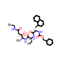 CCC(C)CNC(=O)C[C@H](O)[C@@H](NC(=O)[C@H](CC(C)C)NC(=O)[C@H](Cc1cccc2ccccc12)NC(=O)OCc1ccccc1)C(C)CC